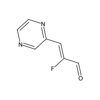 O=CC(F)=Cc1cnccn1